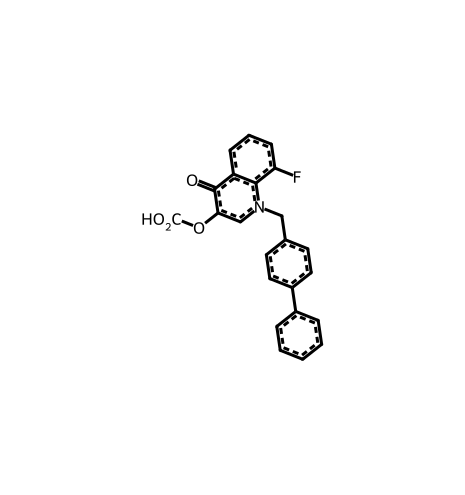 O=C(O)Oc1cn(Cc2ccc(-c3ccccc3)cc2)c2c(F)cccc2c1=O